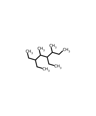 CC[C](CC)C(C)C(CC)C(C)CC